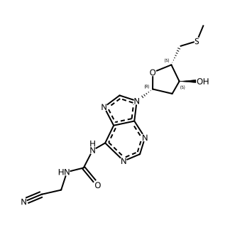 CSC[C@H]1O[C@@H](n2cnc3c(NC(=O)NCC#N)ncnc32)C[C@@H]1O